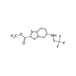 COC(=O)c1cc2cc(NSC(F)(F)F)ccc2s1